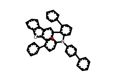 c1ccc(-c2ccc(N(c3ccc(-c4ccccc4)cc3)c3cccc(-c4ccccc4)c3-c3ccc4oc5ccccc5c4c3)cc2)cc1